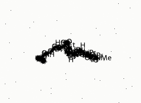 CC[C@@H](C(=O)N(C)CC(=O)N(C)C(CC(C)C)C(=O)NC(C(=O)N(C)[C@@H](CC(C)C)C(=O)NC(C)C(=O)N[C@H](C)[C@H](O)N(C)C(CC(C)C)C(=O)N(C)C(CC(C)C)C(=O)N(C)[C@H](C(=O)NC)C(C)C)C(C)C)N1C(=O)C[C@H](O)C1C/C=C/c1ccc(C(=O)NCCOCCNC(=O)OCC2c3ccccc3-c3ccccc32)cc1